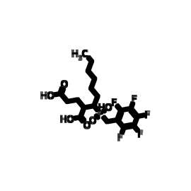 CCCCCCC(C(CCC(=O)O)C(=O)O)P(=O)(O)Cc1c(F)c(F)c(F)c(F)c1F